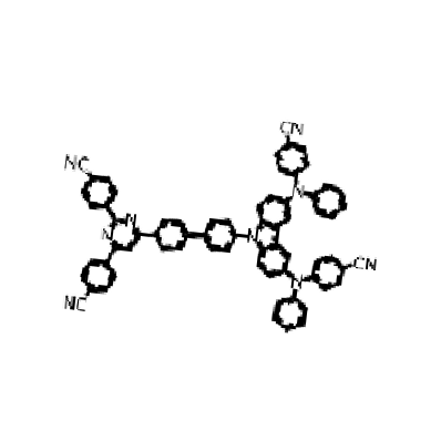 N#Cc1ccc(-c2cc(-c3ccc(-c4ccc(-n5c6ccc(N(c7ccccc7)c7ccc(C#N)cc7)cc6c6cc(N(c7ccccc7)c7ccc(C#N)cc7)ccc65)cc4)cc3)nc(-c3ccc(C#N)cc3)n2)cc1